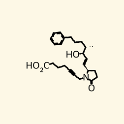 C[C@@H](CCCc1ccccc1)[C@H](O)C=C[C@H]1CCC(=O)N1CC#CCCCC(=O)O